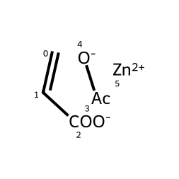 C=CC(=O)[O-].CC(=O)[O-].[Zn+2]